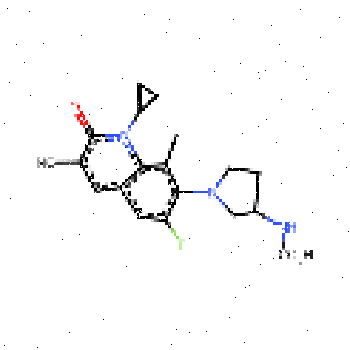 Cc1c(N2CCC(NC(=O)O)C2)c(F)cc2cc(C#N)c(=O)n(C3CC3)c12